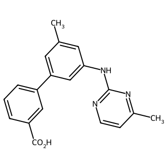 Cc1cc(Nc2nccc(C)n2)cc(-c2cccc(C(=O)O)c2)c1